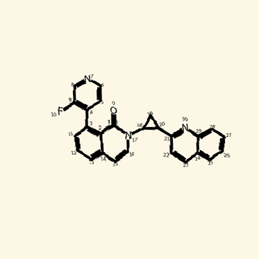 O=c1c2c(-c3ccncc3F)cccc2ccn1C1CC1c1ccc2ccccc2n1